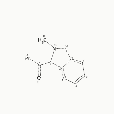 CC(C)C(=O)C1c2ccccc2CN1C